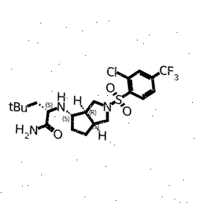 CC(C)(C)C[C@H](N[C@H]1CC[C@@H]2CN(S(=O)(=O)c3ccc(C(F)(F)F)cc3Cl)C[C@@H]21)C(N)=O